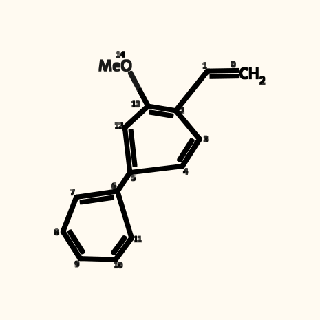 C=Cc1ccc(-c2ccccc2)cc1OC